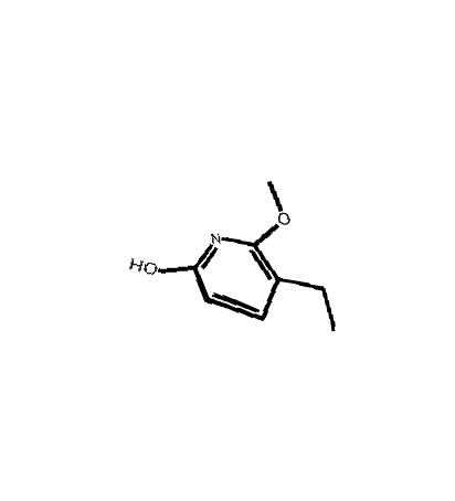 CCc1ccc(O)nc1OC